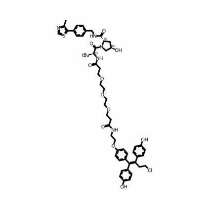 Cc1ncsc1-c1ccc(CNC(=O)[C@@H]2C[C@@H](O)CN2C(=O)[C@@H](NC(=O)CCOCCOCCOCCC(=O)NCCOc2ccc(C(=C(CCCl)c3ccc(O)cc3)c3ccc(O)cc3)cc2)C(C)(C)C)cc1